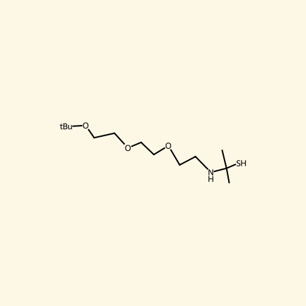 CC(C)(S)NCCOCCOCCOC(C)(C)C